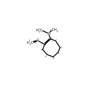 C=N/C1=C(\N(C)C)CCCCCC1